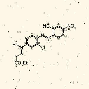 CCOC(=O)CCN(CC)c1ccc(N=Nc2ccc([N+](=O)[O-])cc2C#N)c(Cl)c1